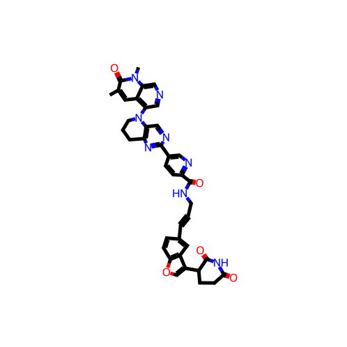 Cc1cc2c(N3CCCc4nc(-c5ccc(C(=O)NCC#Cc6ccc7occ(C8CCC(=O)NC8=O)c7c6)nc5)ncc43)cncc2n(C)c1=O